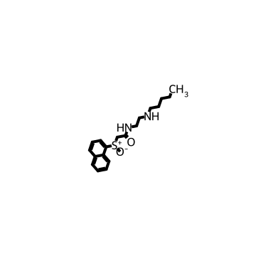 CCCCCNCCNC(=O)C[S+]([O-])c1cccc2ccccc12